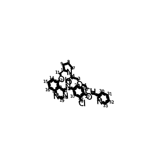 CCOCC(=O)N1CCC[C@@H]1COc1cccc2ncnc(Nc3ccc(OCc4ccccn4)c(Cl)c3)c12